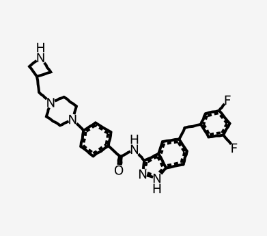 O=C(Nc1n[nH]c2ccc(Cc3cc(F)cc(F)c3)cc12)c1ccc(N2CCN(CC3CNC3)CC2)cc1